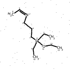 C/C=N\CCC[Si](CC)(CC)OCC